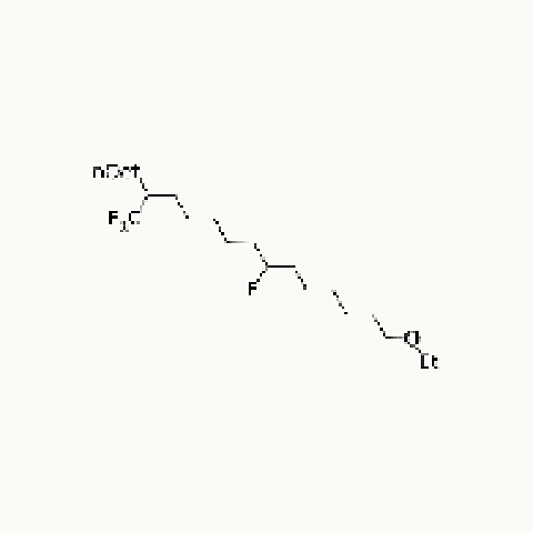 CCCCCCCCC(CCCCCC(F)CCCCCCOCC)C(F)(F)F